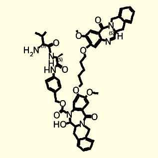 COc1cc2c(cc1OCCCCCOc1cc3c(cc1OC)C(=O)N1Cc4ccccc4CC1C(O)N3C(=O)OCc1ccc(NC(=O)[C@H](C)NC(=O)[C@@H](N)C(C)C)cc1)N=C[C@@H]1Cc3ccccc3CN1C2=O